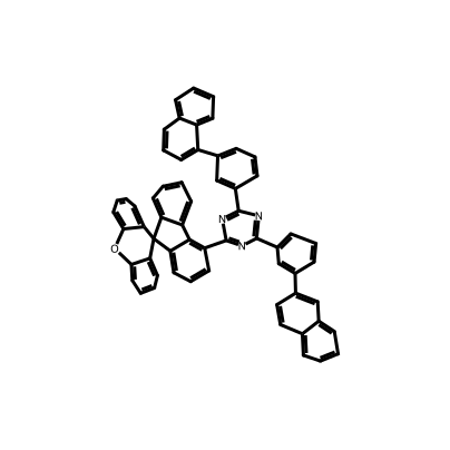 c1cc(-c2ccc3ccccc3c2)cc(-c2nc(-c3cccc(-c4cccc5ccccc45)c3)nc(-c3cccc4c3-c3ccccc3C43c4ccccc4Oc4ccccc43)n2)c1